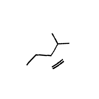 C=C.CCCC(C)C